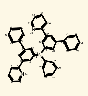 c1ccc(-c2cc(-c3ccccn3)cc(N(c3ccccc3)c3cc(-c4ccccc4)cc(-c4ccccn4)c3)c2)cc1